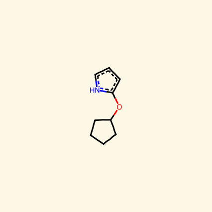 c1c[nH]c(OC2CCCC2)c1